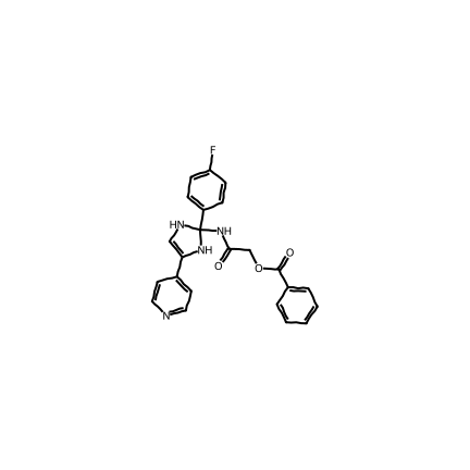 O=C(COC(=O)c1ccccc1)NC1(c2ccc(F)cc2)NC=C(c2ccncc2)N1